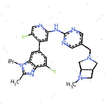 Cc1nc2c(F)cc(-c3cc(Nc4ncc(CN5CC6CN(C)C6C5)cn4)ncc3F)cc2n1C(C)C